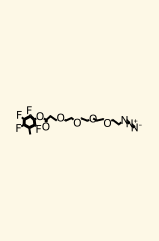 Cc1c(F)c(F)c(F)c(OC(=O)CCOCCOCCOCCOCCN=[N+]=[N-])c1F